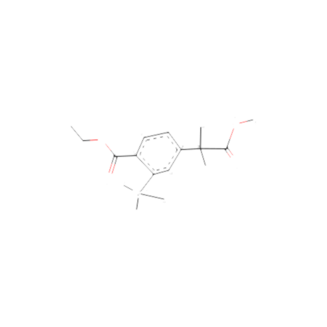 CCOC(=O)c1ccc(C(C)(C)C(=O)OC)cc1[Si](C)(C)C